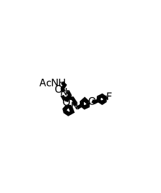 CC(=O)NCC(=O)N1CCC2(CC1)CCN(Cc1ccc(OCc3ccc(F)cc3)cc1)c1ccccc1O2